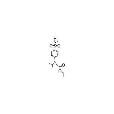 CCOC(=O)[C@@H]1[C@@H](c2ccc(S(N)(=O)=O)cc2)C1(C)C